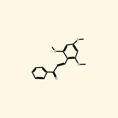 COc1cc(OC)c(C=CC(=O)c2ccccc2)c(OC)c1